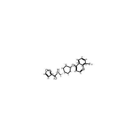 O=C(NC[C@H]1CC[C@H](Oc2ccnc3c(F)cccc23)CC1)c1ccon1